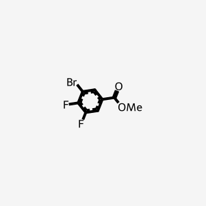 COC(=O)c1cc(F)c(F)c(Br)c1